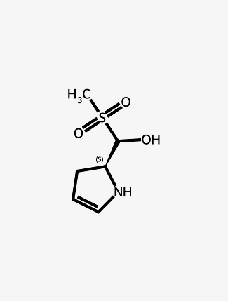 CS(=O)(=O)C(O)[C@@H]1CC=CN1